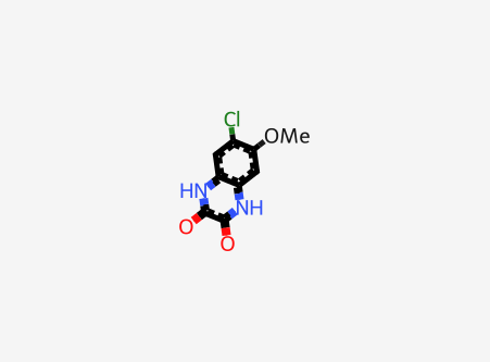 COc1cc2[nH]c(=O)c(=O)[nH]c2cc1Cl